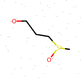 C[S+]([O-])CCC[O]